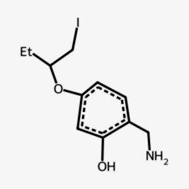 CCC(CI)Oc1ccc(CN)c(O)c1